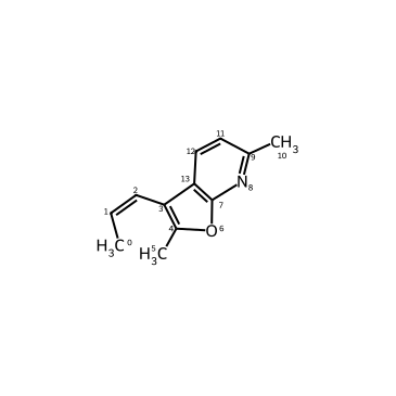 C/C=C\c1c(C)oc2nc(C)ccc12